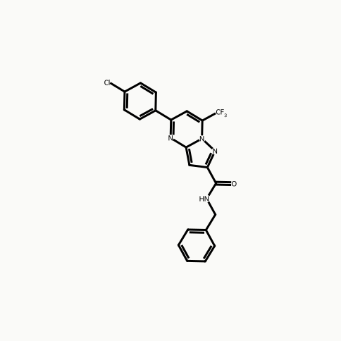 O=C(NCc1ccccc1)c1cc2nc(-c3ccc(Cl)cc3)cc(C(F)(F)F)n2n1